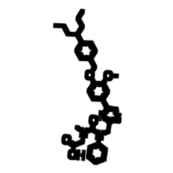 CCCC(CCC)c1ccc(COc2ccc(-c3csc(CN(C(=O)N(C)CC(=O)O)c4ccccc4)n3)cc2OC)cc1